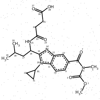 COC(=O)N(C)C(=O)c1ccc2c(c1)nc(C(CC(C)C)NC(=O)CCC(=O)O)n2C1CC1